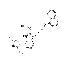 Cc1nc(C)c(-c2cccc3c(CCCOc4cccc5ccccc45)c(OC(=O)O)[nH]c23)s1